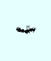 Cc1cc(C2CCN(C3CCN(CC(C)C)CC3)CC2)cc2[nH]c(-c3ccc(OC(F)F)cc3)nc12